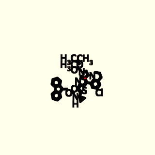 CC(C)(C)OC(=O)N1CC[C@H](N2CCCc3cc(Cl)cc(-c4ccnc5cc(C6(NC(=O)OCC7c8ccccc8-c8ccccc87)CC6)sc45)c32)C1